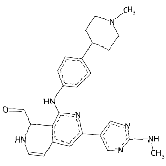 CNc1ncc(-c2cc3c(c(Nc4ccc(C5CCN(C)CC5)cc4)n2)C(C=O)NC=C3)cn1